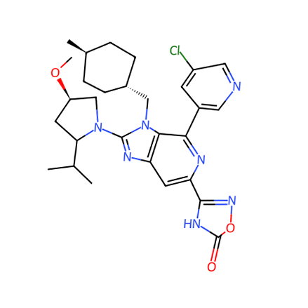 CO[C@@H]1CC(C(C)C)N(c2nc3cc(-c4noc(=O)[nH]4)nc(-c4cncc(Cl)c4)c3n2C[C@H]2CC[C@H](C)CC2)C1